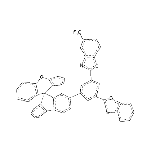 FC(F)(F)c1ccc2oc(-c3cc(-c4ccc5c(c4)C4(c6ccccc6Oc6ccccc64)c4ccccc4-5)cc(-c4nc5ccccc5o4)c3)nc2c1